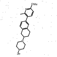 COc1ccc(-c2ccc3c(c2)CCC(N2CCN(C(C)C)CC2)C3)c(C)n1